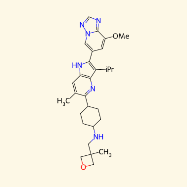 COc1cc(-c2[nH]c3cc(C)c(C4CCC(NCC5(C)COC5)CC4)nc3c2C(C)C)cn2ncnc12